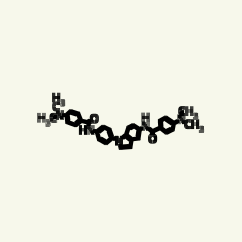 CN(C)c1ccc(C(=O)Nc2ccc(-n3ccc4cc(NC(=O)c5ccc(N(C)C)cc5)ccc43)cc2)cc1